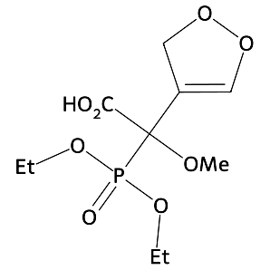 CCOP(=O)(OCC)C(OC)(C(=O)O)C1=COOC1